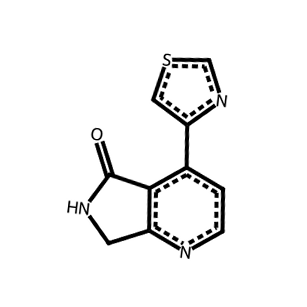 O=C1NCc2nccc(-c3cscn3)c21